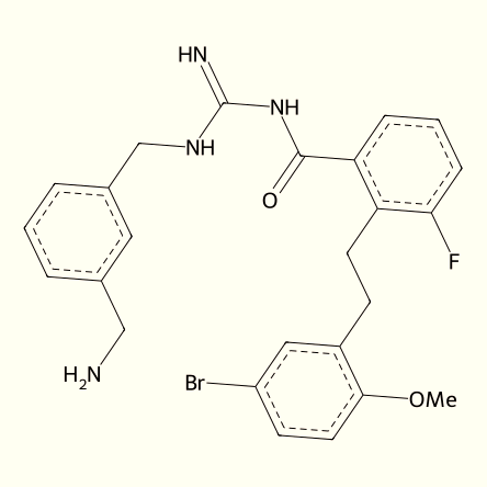 COc1ccc(Br)cc1CCc1c(F)cccc1C(=O)NC(=N)NCc1cccc(CN)c1